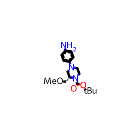 COC[C@@H]1CN(c2ccc(N)cc2)CCN1C(=O)OC(C)(C)C